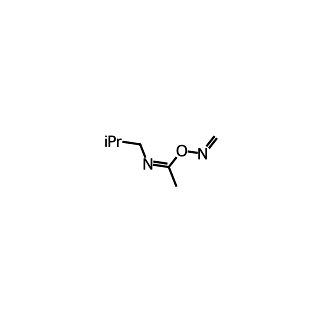 C=NO/C(C)=N\CC(C)C